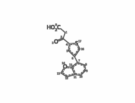 O=C(O)CC(=O)c1cc(-c2cccc3ccoc23)cs1